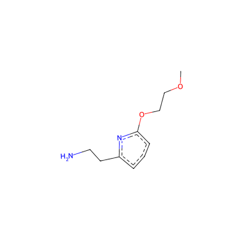 COCCOc1cccc(CCN)n1